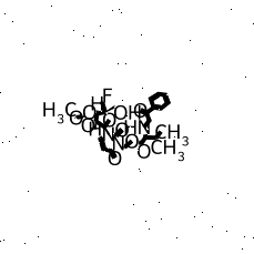 COC1O[C@H]2[C@H](n3ccc(=O)n(COC(=O)C(NCC(=O)c4ccccc4)C(C)C)c3=O)O[C@@](CO)(CF)[C@H]2O1